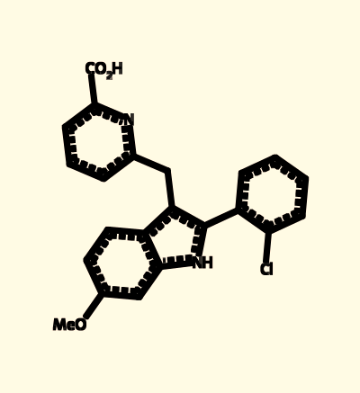 COc1ccc2c(Cc3cccc(C(=O)O)n3)c(-c3ccccc3Cl)[nH]c2c1